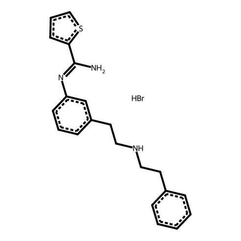 Br.NC(=Nc1cccc(CCNCCc2ccccc2)c1)c1cccs1